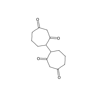 O=C1CCCC(C2CCCC(=O)CC2=O)C(=O)C1